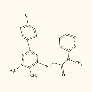 Cc1nc(-c2ccc(Cl)cc2)nc(NCC(=O)N(C)c2ccccc2)c1C